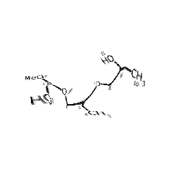 COP(O)OCC(C)OCC(C)O